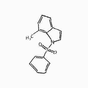 Cc1cccc2ccn(S(=O)(=O)c3ccccc3)c12